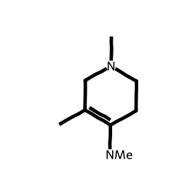 CNC1=C(C)CN(C)CC1